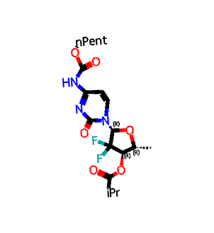 [CH2][C@H]1O[C@@H](n2ccc(NC(=O)OCCCCC)nc2=O)C(F)(F)[C@@H]1OC(=O)C(C)C